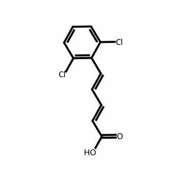 O=C(O)C=CC=Cc1c(Cl)cccc1Cl